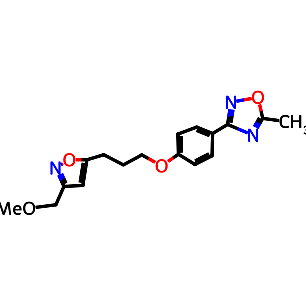 COCc1cc(CCCOc2ccc(-c3noc(C)n3)cc2)on1